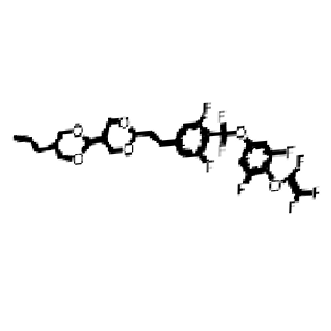 CCCC1COC(C2COC(CCc3cc(F)c(C(F)(F)Oc4cc(F)c(OC(F)=C(F)F)c(F)c4)c(F)c3)OC2)OC1